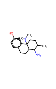 CC1CCC2(N(C)C)c3cc(O)ccc3CCC2C1N